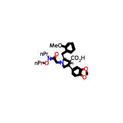 CCCON(CCC)C(=O)CN1C[C@H](c2ccc3c(c2)OCO3)[C@@H](C(=O)O)[C@@H]1Cc1ccccc1OC